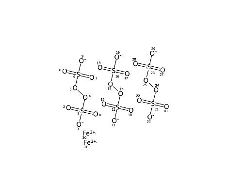 O=S(=O)([O-])OOS(=O)(=O)[O-].O=S(=O)([O-])OOS(=O)(=O)[O-].O=S(=O)([O-])OOS(=O)(=O)[O-].[Fe+3].[Fe+3]